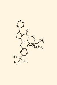 COc1ccc(C(C)(C)C)cc1CNC1CCC(c2ccccc2)N1C(=O)C1CCC(O)(C(C)C)CC1